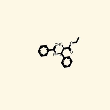 CCOC(=O)[C@H](O)[C@H](NC(=O)c1ccccc1)c1ccccc1